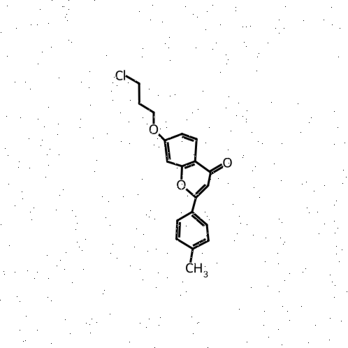 Cc1ccc(-c2cc(=O)c3ccc(OCCCCl)cc3o2)cc1